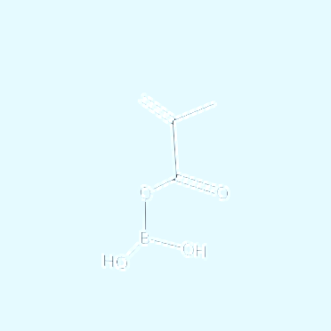 C=C(C)C(=O)OB(O)O